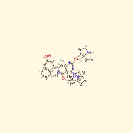 CCc1cccc2cc(O)cc(-c3nc4c5c(nc(OCC67CCCN6CCC7)nc5c3F)N3C[C@H]5CC[C@H](N5)[C@@H]3CO4)c12